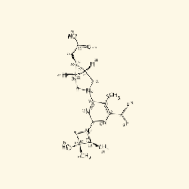 Cc1c(C(F)F)nc(N2C[C@@](C)(O)[C@@H]2C)nc1N1C[C@@H]2[C@@H](CC(=O)O)[C@@H]2C1